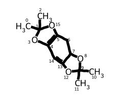 CC1(C)OC2=C(CC3OC(C)(C)OC3=C2)O1